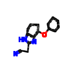 N#CCc1nc2c(Oc3ccccc3)cccc2[nH]1